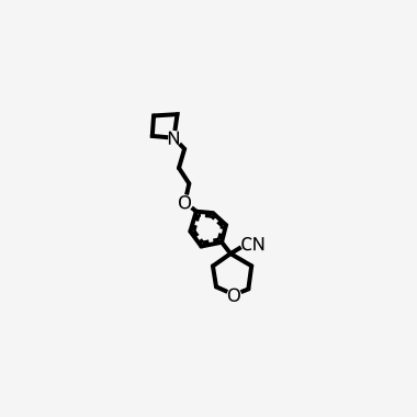 N#CC1(c2ccc(OCCCN3CCC3)cc2)CCOCC1